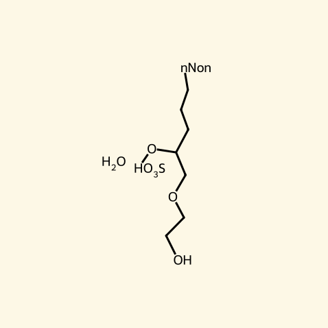 CCCCCCCCCCCCC(COCCO)OS(=O)(=O)O.O